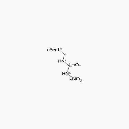 CCCCCCNC(=O)N[N+](=O)[O-]